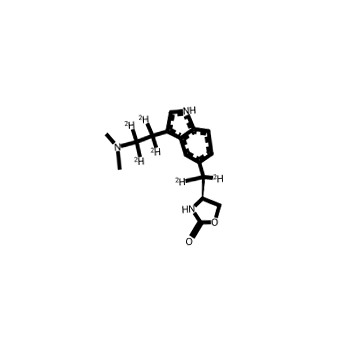 [2H]C([2H])(c1ccc2[nH]cc(C([2H])([2H])C([2H])([2H])N(C)C)c2c1)[C@H]1COC(=O)N1